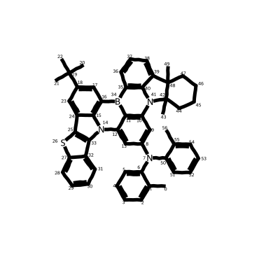 Cc1ccccc1N(c1cc2c3c(c1)-n1c4c(cc(C(C)(C)C)cc4c4sc5ccccc5c41)B3c1cccc3c1N2C1(C)CCCCC31C)c1ccccc1C